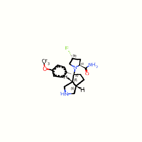 NC(=O)[C@@H]1C[C@@H](F)CN1[C@@]1(c2ccc(OC(F)(F)F)cc2)CC[C@@H]2CNC[C@@H]21